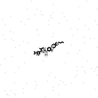 CCCCN1CC2(CCN(c3ccc(Nc4ncc(C)c(-c5cnn(C(C)C)c5)n4)cc3F)CC2)C1